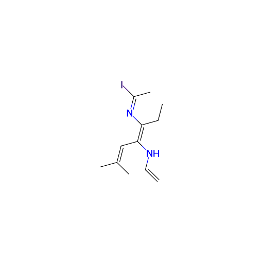 C=CN/C(C=C(C)C)=C(CC)/N=C(\C)I